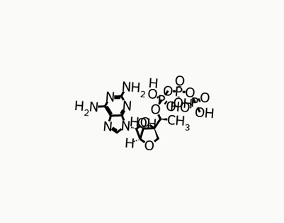 C[C@H](OP(=O)(O)OP(=O)(O)OP(=O)(O)O)[C@@]12CO[C@@H]([C@H](n3cnc4c(N)nc(N)nc43)O1)[C@@H]2O